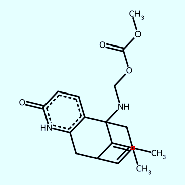 C/C=C1\C2C=C(C)CC1(NCOC(=O)OC)c1ccc(=O)[nH]c1C2